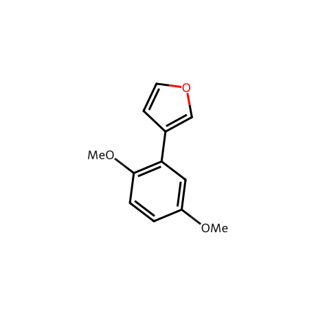 COc1ccc(OC)c(-c2ccoc2)c1